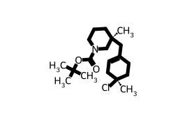 CC(C)(C)OC(=O)N1CCC[C@@](C)(CC2=CC[C@](C)(Cl)CC2)C1